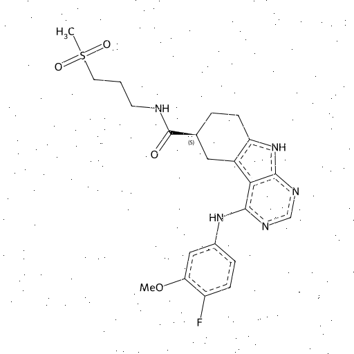 COc1cc(Nc2ncnc3[nH]c4c(c23)C[C@@H](C(=O)NCCCS(C)(=O)=O)CC4)ccc1F